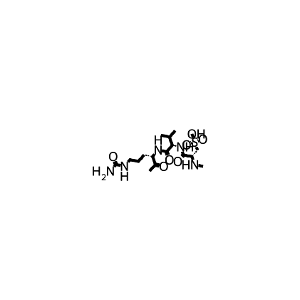 CN[C@@H](CS(=O)(=O)O)C(=O)N[C@H](C(=O)N[C@@H](CCCNC(N)=O)C(C)=O)C(C)C